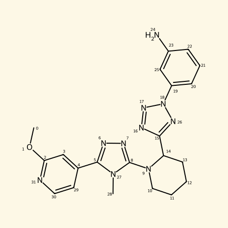 COc1cc(-c2nnc(N3CCCCC3c3nnn(-c4cccc(N)c4)n3)n2C)ccn1